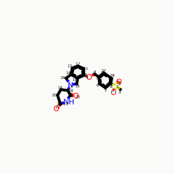 CS(=O)(=O)c1ccc(COc2cccc3c2CN(C2CCC(=O)NC2=O)C3)cc1